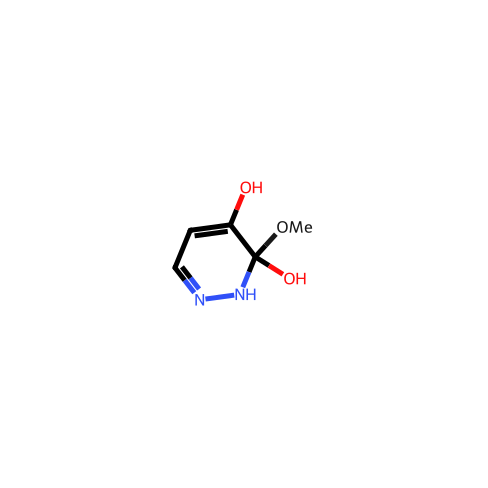 COC1(O)NN=CC=C1O